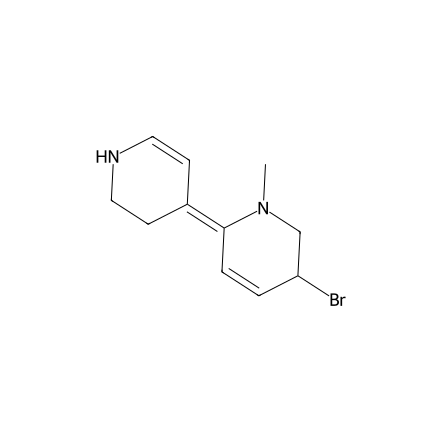 CN1CC(Br)C=CC1=C1C=CNCC1